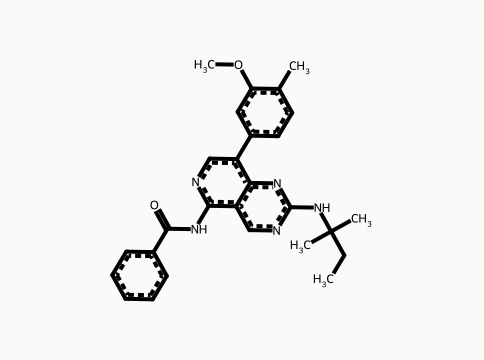 CCC(C)(C)Nc1ncc2c(NC(=O)c3ccccc3)ncc(-c3ccc(C)c(OC)c3)c2n1